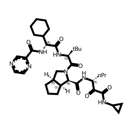 CCC[C@@H](NC(=O)[C@H]1[C@H]2CCC[C@H]2CN1C(=O)[C@@H](NC(=O)[C@H](NC(=O)c1cnccn1)C1CCCCC1)C(C)(C)C)C(=O)C(=O)NC1CC1